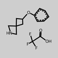 O=C(O)C(F)(F)F.c1ccc(OC2CC3(CNC3)C2)cc1